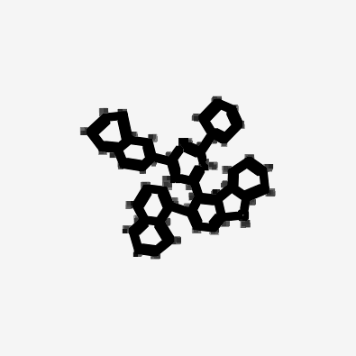 c1ccc(-c2nc(-c3ccc4ccccc4c3)nc(-c3c(-c4cccc5ccccc45)ccc4oc5ccccc5c34)n2)cc1